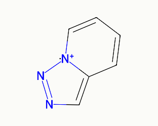 C1=CC2=CN=N[N+]2C=C1